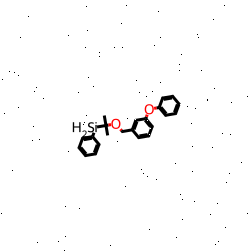 CC(C)(OCc1cccc(Oc2ccccc2)c1)[SiH2]c1ccccc1